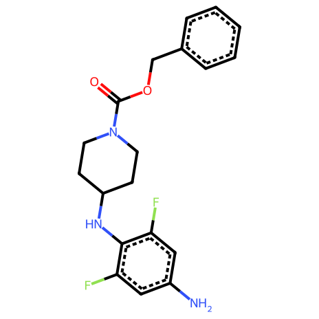 Nc1cc(F)c(NC2CCN(C(=O)OCc3ccccc3)CC2)c(F)c1